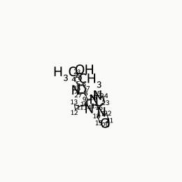 CC(C)(O)Cc1ccc(-c2c(C3CC3)nc3c(N4CCOCC4)ccnn23)cn1